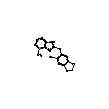 Nc1ncnc2[nH]c(Sc3cc4c(cc3Cl)OCO4)nc12